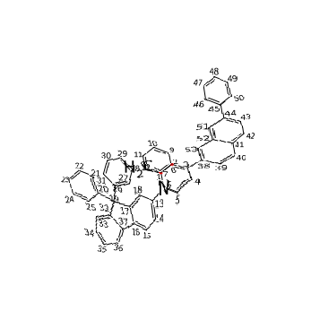 C=C/C=C(\C=C/N(c1ccccc1)c1ccc2c(c1)C(c1ccccc1)(c1ccccc1)c1ccccc1-2)c1ccc2ccc(-c3ccccc3)cc2c1